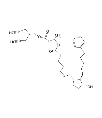 C#CCC(CC#C)COC(=O)OC(C)OC(=O)CCC/C=C\C[C@H]1CC[C@@H](O)[C@@H]1CCCCCc1ccccc1